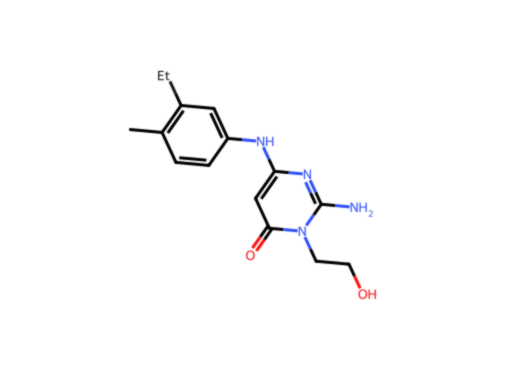 CCc1cc(Nc2cc(=O)n(CCO)c(N)n2)ccc1C